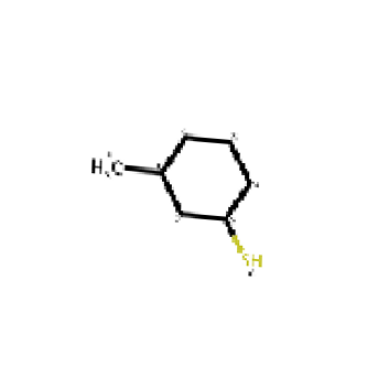 CC1CCCC(S)C1